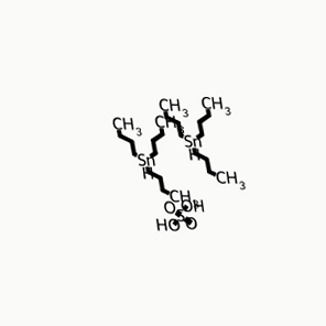 CCC[CH2][SnH]([CH2]CCC)[CH2]CCC.CCC[CH2][SnH]([CH2]CCC)[CH2]CCC.O=S(=O)(O)O